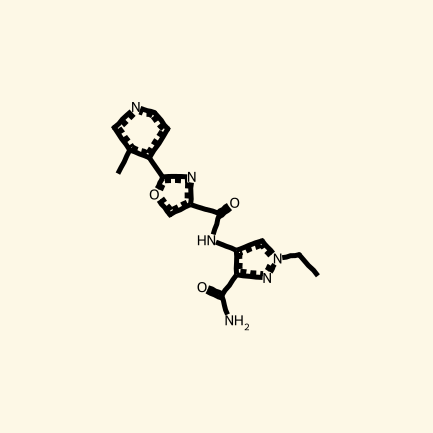 CCn1cc(NC(=O)c2coc(-c3ccncc3C)n2)c(C(N)=O)n1